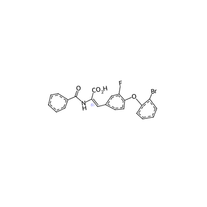 O=C(O)/C(=C\c1ccc(Oc2ccccc2Br)c(F)c1)NC(=O)c1ccccc1